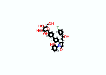 O=C1C[C@@H](CC[C@H](O)c2ccc(F)cc2)[C@@H](c2ccc(-c3ccc(C4O[C@H](CO)[C@@H](O)[C@H](O)[C@H]4O)cc3)cc2O)N1c1ccccc1